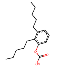 CCCCCc1cccc(OC(=O)O)c1CCCCC